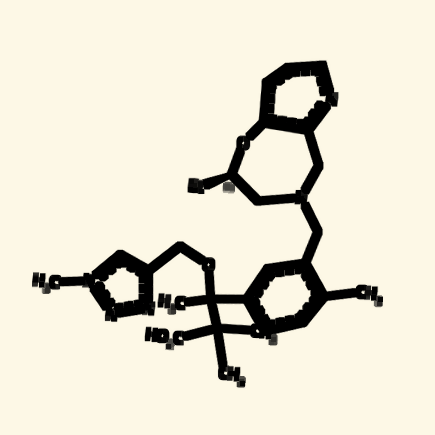 CC[C@@H]1CN(Cc2cc(C(C)(OCc3cn(C)nn3)C(C)(C)C(=O)O)ccc2C)Cc2ncccc2O1